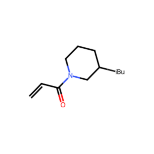 C=CC(=O)N1CCCC(C(C)CC)C1